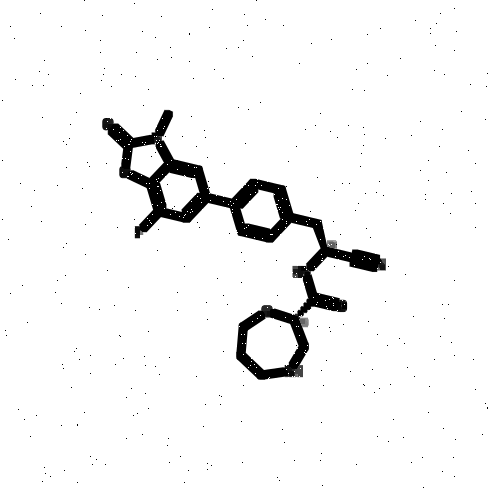 Cn1c(=O)oc2c(F)cc(-c3ccc(C[C@@H](C#N)NC(=O)[C@@H]4CNCCCO4)cc3)cc21